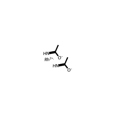 CC(=N)[O-].CC(=N)[O-].[Rh+2]